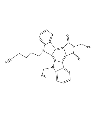 CCn1c2ccccc2c2c3c(c4c5ccccc5n(CCCCC#N)c4c21)C(=O)N(CO)C3=O